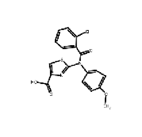 COc1ccc(N(C(=O)c2ccccc2Cl)c2nc(C(=O)O)cs2)cc1